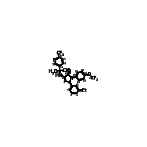 CCc1cccc(C2C=C(NC(C)(C)c3ccc(C(F)(F)F)nc3)C(=O)N2c2ccc(OC(F)(F)F)cc2)c1